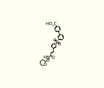 O=C(C=Cc1ccn(S(=O)(=O)c2cccc(-c3ccc(C(=O)O)cc3)c2)c1)NOC1CCCCO1